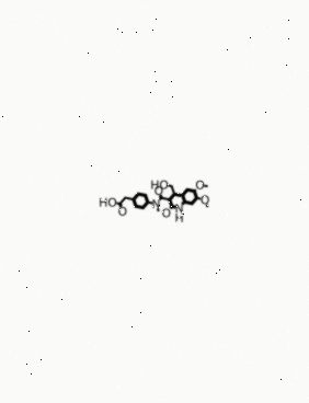 COc1cc2[nH]c(=O)c(C(=O)N(C)c3ccc(CC(=O)O)cc3)c(CO)c2cc1OC